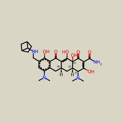 CN(C)c1cc(CNC2C3CCC2C3)c(O)c2c1C[C@H]1C[C@H]3[C@H](N(C)C)C(O)=C(C(N)=O)C(=O)[C@@]3(O)C(O)=C1C2=O